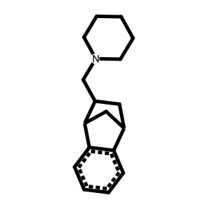 c1ccc2c(c1)C1CC(CN3CCCCC3)C2C1